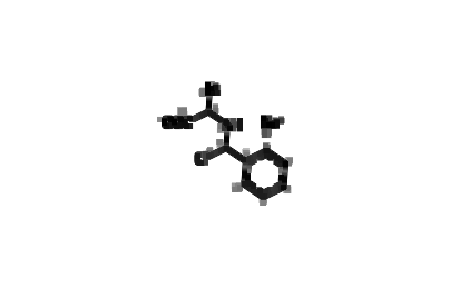 CCC(NC(Cl)c1ccccc1)C(=O)[O-].[Na+]